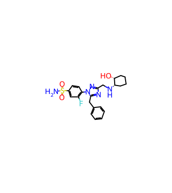 NS(=O)(=O)c1ccc(-n2nc(CN[C@H]3CCCC[C@H]3O)nc2Cc2ccccc2)c(F)c1